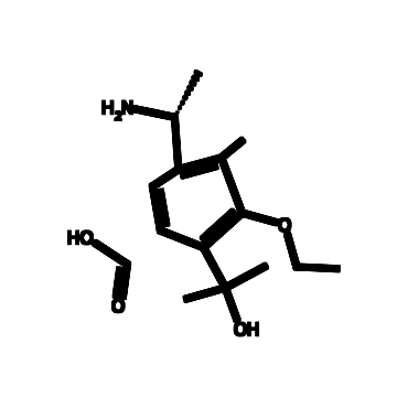 CCOc1c(C(C)(C)O)ccc([C@@H](C)N)c1C.O=CO